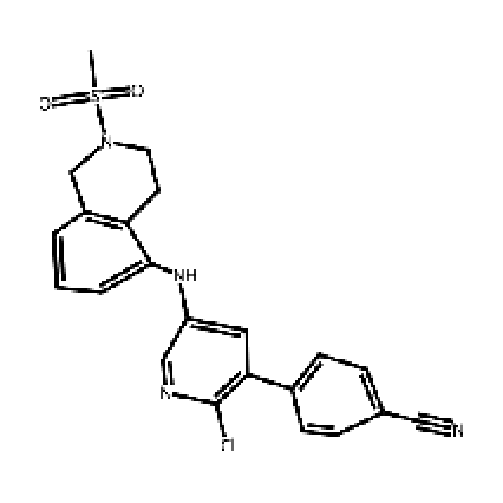 CS(=O)(=O)N1CCc2c(cccc2Nc2cnc(Cl)c(-c3ccc(C#N)cc3)c2)C1